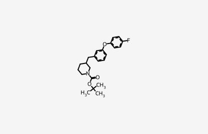 CC(C)(C)OC(=O)N1CCCC(Cc2cccc(Oc3ccc(F)cc3)c2)C1